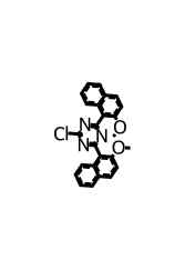 COc1ccc2ccccc2c1-c1nc(Cl)nc(-c2c(OC)ccc3ccccc23)n1